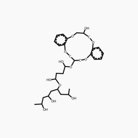 CC(O)CC(O)CC(CC(C)O)OC(O)CCC(O)OC1COc2ccccc2OCC(O)COc2ccccc2OC1